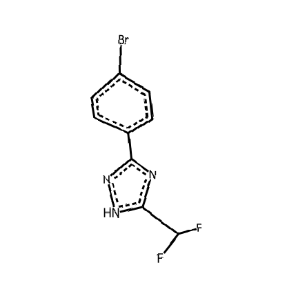 FC(F)c1nc(-c2ccc(Br)cc2)n[nH]1